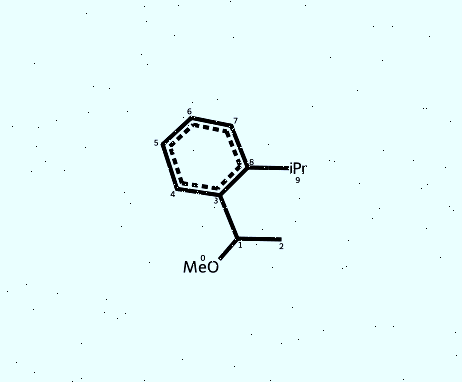 COC(C)c1ccccc1C(C)C